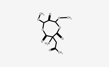 COC1OC(=O)C(N)(CC(C)=O)C(=O)OC(OC)C1=O